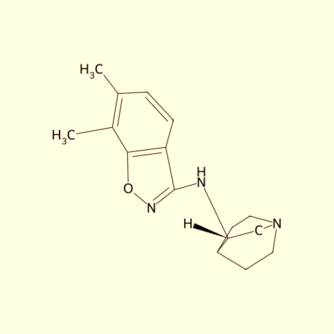 Cc1ccc2c(N[C@@H]3CN4CCC3CC4)noc2c1C